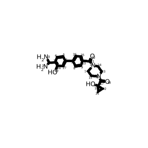 NC(N)c1ccc(-c2ccc(C(=O)N3CCN(C(=O)C4(O)CC4)CC3)cc2)cc1O